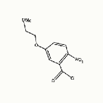 COCCOc1ccc([N+](=O)[O-])c(C(=O)Cl)c1